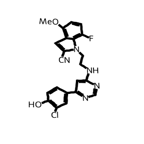 COc1ccc(F)c2c1cc(C#N)n2CCNc1cc(-c2ccc(O)c(Cl)c2)ncn1